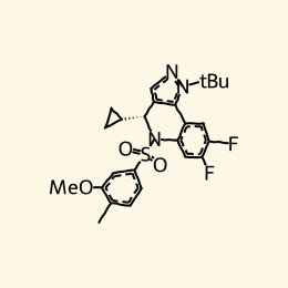 COc1cc(S(=O)(=O)N2c3cc(F)c(F)cc3-c3c(cnn3C(C)(C)C)[C@H]2C2CC2)ccc1C